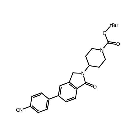 [C-]#[N+]c1ccc(-c2ccc3c(c2)CN(C2CCN(C(=O)OC(C)(C)C)CC2)C3=O)cc1